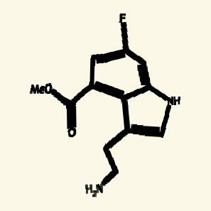 COC(=O)c1cc(F)cc2[nH]cc(CCN)c12